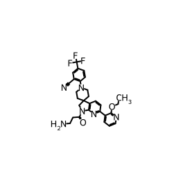 CCOc1ncccc1-c1ccc2c(n1)N(C(=O)CCN)CC21CCN(c2ccc(C(F)(F)F)cc2C#N)CC1